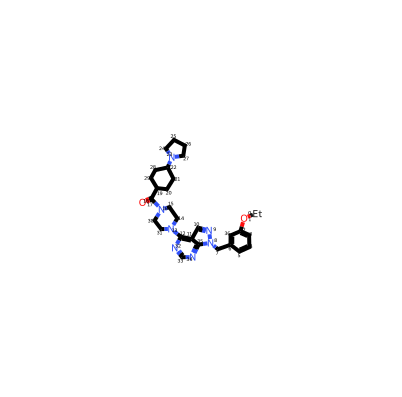 CCOc1cccc(Cn2ncc3c(N4CCN(C(=O)C5CCC(N6CCCC6)CC5)CC4)ncnc32)c1